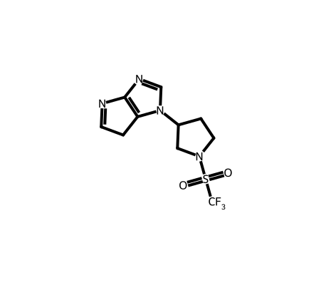 O=S(=O)(N1CCC(n2cnc3c2CC=N3)C1)C(F)(F)F